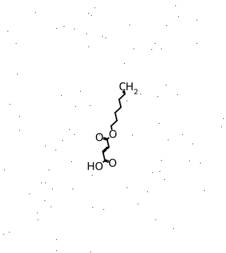 C=CCCCCCOC(=O)/C=C/C(=O)O